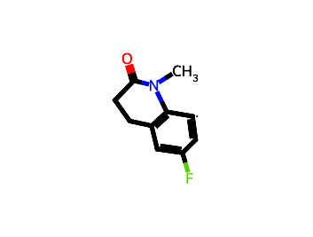 CN1C(=O)CCc2cc(F)c[c]c21